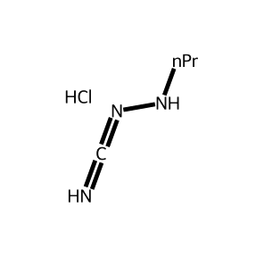 CCCNN=C=N.Cl